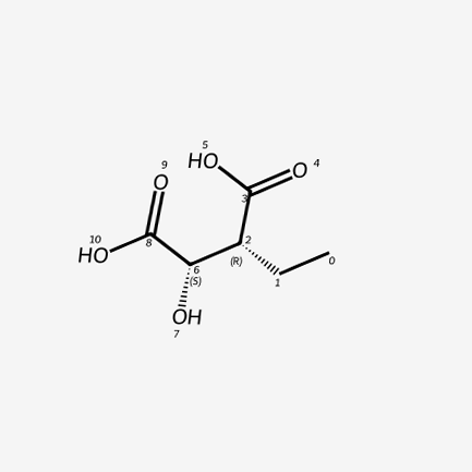 CC[C@@H](C(=O)O)[C@H](O)C(=O)O